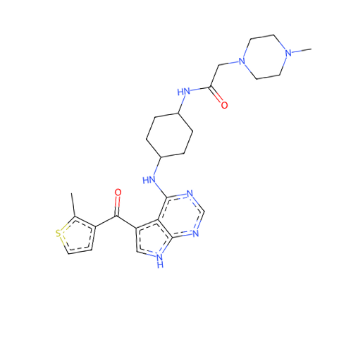 Cc1sccc1C(=O)c1c[nH]c2ncnc(NC3CCC(NC(=O)CN4CCN(C)CC4)CC3)c12